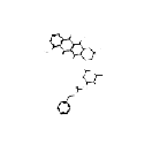 COc1cccc2c1C(=O)c1c(O)c3c(c(O)c1C2=O)C[C@@](O)(C(C)=O)C[C@@H]3OC1CC(NC(=O)OCc2ccccc2)C(O)C(C)O1